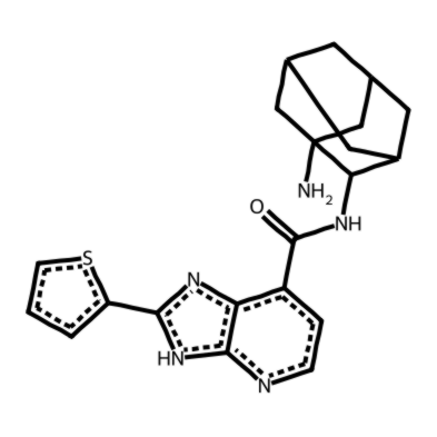 NC12CC3CC(CC(C3)C1NC(=O)c1ccnc3[nH]c(-c4cccs4)nc13)C2